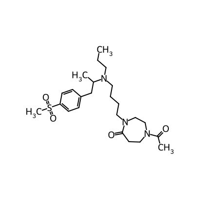 CCCN(CCCCN1CCN(C(C)=O)CCC1=O)C(C)Cc1ccc(S(C)(=O)=O)cc1